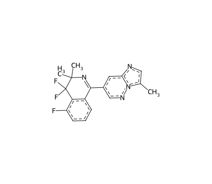 Cc1cnc2cc(C3=NC(C)(C)C(F)(F)c4c(F)cccc43)cnn12